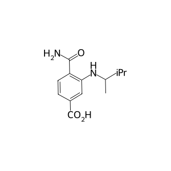 CC(C)C(C)Nc1cc(C(=O)O)ccc1C(N)=O